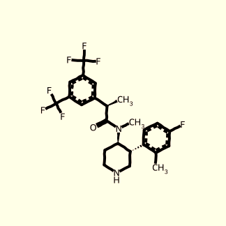 Cc1cc(F)ccc1[C@@H]1CNCC[C@H]1N(C)C(=O)[C@H](C)c1cc(C(F)(F)F)cc(C(F)(F)F)c1